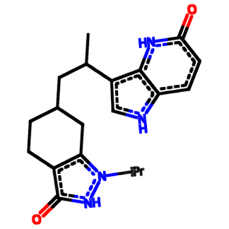 CC(CC1CCc2c(n(C(C)C)[nH]c2=O)C1)c1c[nH]c2ccc(=O)[nH]c12